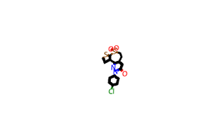 O=c1cc2c(nn1-c1ccc(Cl)cc1)-c1ccsc1S(=O)(=O)CC2